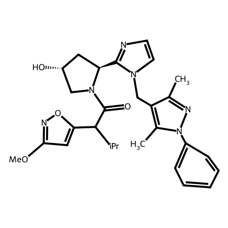 COc1cc(C(C(=O)N2C[C@H](O)C[C@H]2c2nccn2Cc2c(C)nn(-c3ccccc3)c2C)C(C)C)on1